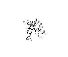 CCOC(=O)[C@H](CC(F)CCN)N(C(=O)OC(C)(C)C)C(=O)OC(C)(C)C